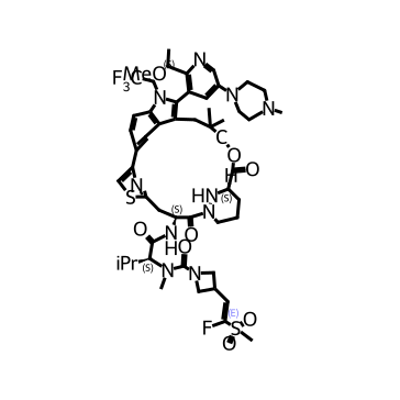 CO[C@@H](C)c1ncc(N2CCN(C)CC2)cc1-c1c2c3cc(ccc3n1CC(F)(F)F)-c1csc(n1)C[C@H](NC(=O)[C@H](C(C)C)N(C)C(=O)N1CC(/C=C(\F)S(C)(=O)=O)C1)C(=O)N1CCC[C@H](N1)C(=O)OCC(C)(C)C2